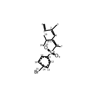 C=C/C(C)=C\C(=C(/C)S(=O)(=O)c1ccc(Br)cc1)C(C)C